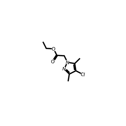 CCOC(=O)Cn1nc(C)c(Cl)c1C